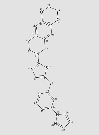 c1cc(Cc2cnc(N3CCc4cc5c(cc4C3)OCCO5)s2)cc(-n2cccn2)c1